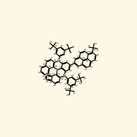 CC(C)(C)c1cc(N2c3cc(-c4cc5ccc6ccc(C(C)(C)C)c7ccc(c4)c5c67)cc4c3B(c3c2ccc2ccccc32)c2c(ccc3ccccc23)N4c2cc(C(C)(C)C)cc(C(C)(C)C)c2)cc(C(C)(C)C)c1